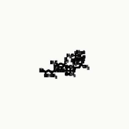 CCCCCCCC(C)(CCCCCCC)OP(=O)(OC)OC(C)(C)CCOC(C)(C)P(=O)(OC)OC(C)(C)CC(C)(C)SSC(C)CC(O)CC